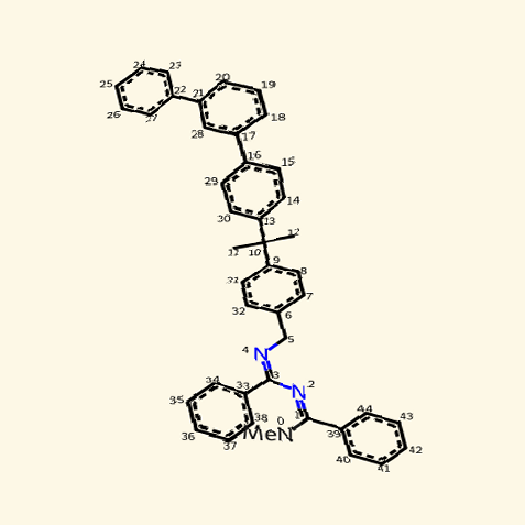 CN/C(=N\C(=N/Cc1ccc(C(C)(C)c2ccc(-c3cccc(-c4ccccc4)c3)cc2)cc1)c1ccccc1)c1ccccc1